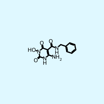 Nc1[nH]c(=O)n(O)c(=O)c1C(=O)NCc1ccccc1